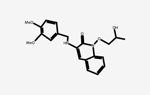 COc1ccc(CNc2cc3ccccc3n(OCC(C)O)c2=O)cc1OC